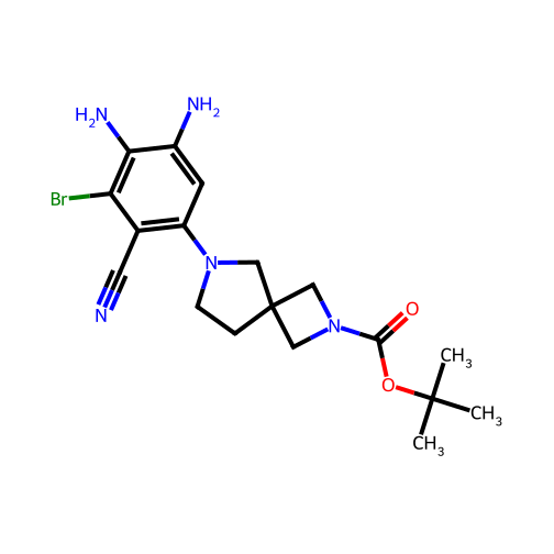 CC(C)(C)OC(=O)N1CC2(CCN(c3cc(N)c(N)c(Br)c3C#N)C2)C1